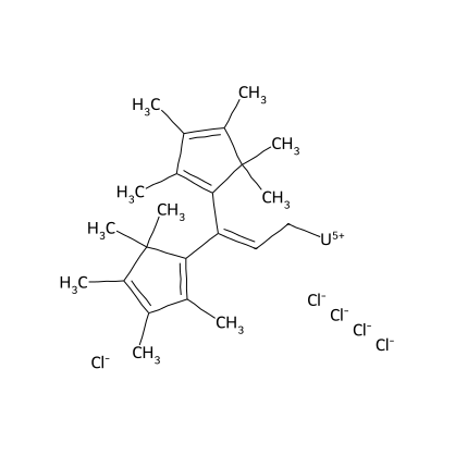 CC1=C(C)C(C)(C)C(C(=C[CH2][U+5])C2=C(C)C(C)=C(C)C2(C)C)=C1C.[Cl-].[Cl-].[Cl-].[Cl-].[Cl-]